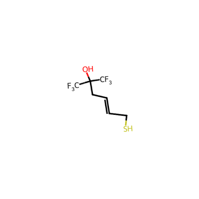 OC(CC=CCS)(C(F)(F)F)C(F)(F)F